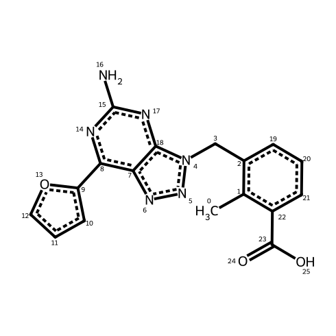 Cc1c(Cn2nnc3c(-c4ccco4)nc(N)nc32)cccc1C(=O)O